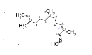 C=CC(=C)CCC=C(C)CC/C=C(/C)C=NO